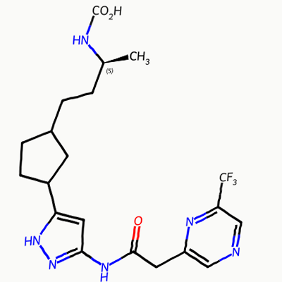 C[C@@H](CCC1CCC(c2cc(NC(=O)Cc3cncc(C(F)(F)F)n3)n[nH]2)C1)NC(=O)O